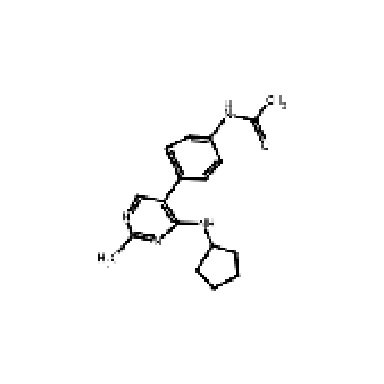 CC(=O)Nc1ccc(-c2cnc(C)nc2NC2CCCC2)cc1